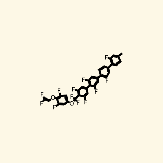 Cc1ccc(-c2ccc(-c3cc(F)c(-c4cc(F)c(C(F)(F)Oc5cc(F)c(OC=C(F)F)c(F)c5)c(F)c4)c(F)c3)c(F)c2)c(F)c1